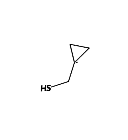 SC[C]1CC1